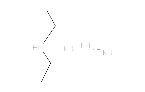 CCNCC.[KH].[KH].[KH].[KH]